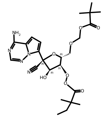 CCC(C)(C)C(=O)OO[C@H]1[C@@H](O)[C@](C#N)(c2ccc3c(N)ncnn23)O[C@@H]1COCOC(=O)C(C)(C)C